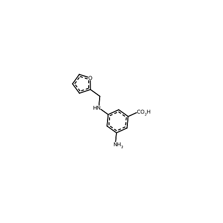 Nc1cc(NCc2ccco2)cc(C(=O)O)c1